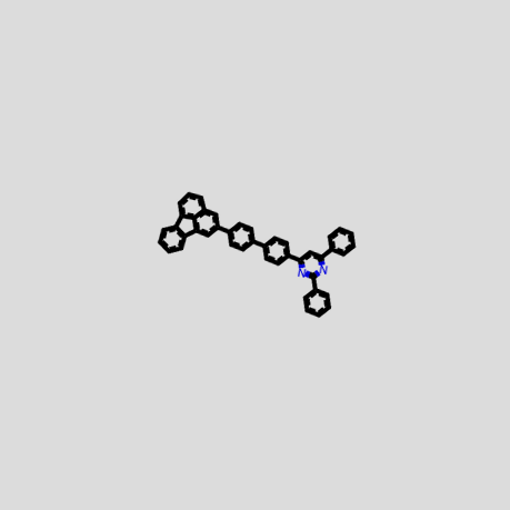 c1ccc(-c2cc(-c3ccc(-c4ccc(-c5cc6c7c(cccc7c5)-c5ccccc5-6)cc4)cc3)nc(-c3ccccc3)n2)cc1